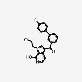 O=C(c1cccc(-c2ccc(F)cc2)c1)c1cn(CCCl)c2c(O)nccc12